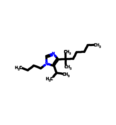 CCCCCC(C)(C)c1ncn(CCCC)c1C(C)C